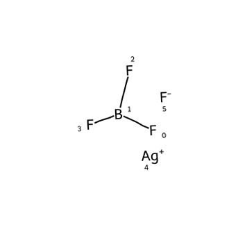 FB(F)F.[Ag+].[F-]